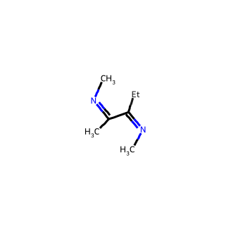 CCC(=N/C)/C(C)=N\C